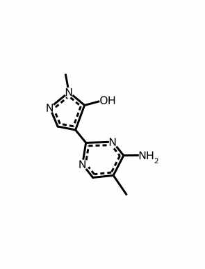 Cc1cnc(-c2cnn(C)c2O)nc1N